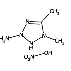 CC1=NN(N)NN1C.O=[N+]([O-])O